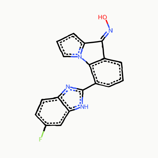 ON=C1c2cccc(-c3nc4ccc(F)cc4[nH]3)c2-n2cccc21